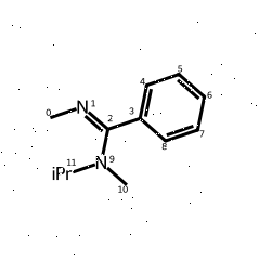 C/N=C(/c1ccccc1)N(C)C(C)C